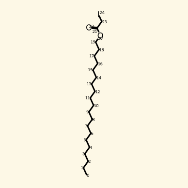 CCCCCCCCCCCCCCCCCCCCOC(=O)CI